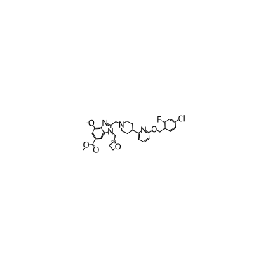 COC(=O)c1cc(OC)c2nc(CN3CCC(c4cccc(OCc5ccc(Cl)cc5F)n4)CC3)n(C[C@@H]3CCO3)c2c1